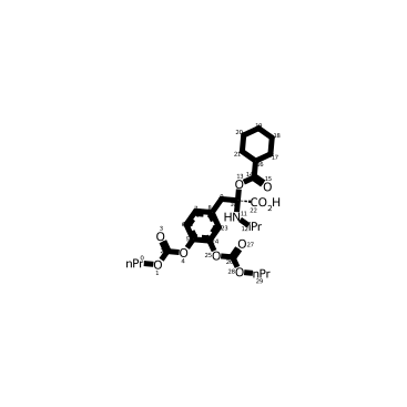 CCCOC(=O)Oc1ccc(C[C@](NC(C)C)(OC(=O)C2CCCCC2)C(=O)O)cc1OC(=O)OCCC